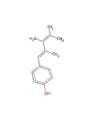 CC(C)=C(N)/C(C)=C/c1ccc(O)cc1